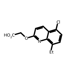 CCc1ccc(Cl)c2ccc(OCC(=O)O)nc12